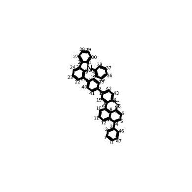 c1ccc(-c2ccc3c4c(cccc24)-c2cc(-c4ccc(-c5cccc6c7ccccc7n(-c7ccccc7)c56)cc4)ccc2S3)cc1